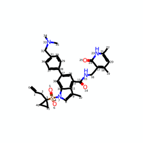 C=CCC1(S(=O)(=O)n2cc(C)c3c(C(=O)NCc4c(C)cc(C)[nH]c4=O)cc(-c4ccc(CN(C)C)cc4)cc32)CC1